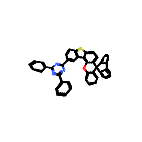 c1ccc(-c2nc(-c3ccccc3)nc(-c3ccc4sc5ccc6c(c5c4c3)Oc3ccccc3C63c4ccccc4-c4ccccc43)n2)cc1